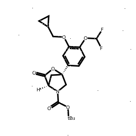 CC(C)(C)OC(=O)N1C[C@@]2(c3ccc(OC(F)F)c(OCC4CC4)c3)C[C@@H]1C(=O)O2